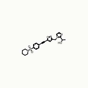 CC(O)c1nccn1Cc1cc(C#Cc2ccc(S(=O)(=O)N3CCCCC3)cc2)on1